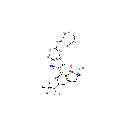 CC(C)(C)C(O)c1cc2c(c(-c3cc4cc(CN5CCCCC5)ccc4[nH]3)c1)C(=O)NC2.Cl